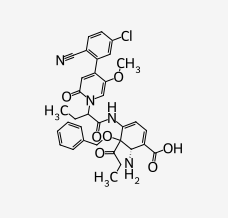 CCC(=O)C1(OCc2ccccc2)C(NC(=O)C(CC)n2cc(OC)c(-c3cc(Cl)ccc3C#N)cc2=O)=CC=C(C(=O)O)[C@@H]1N